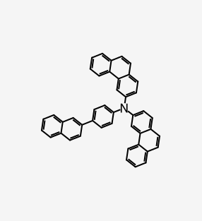 c1ccc2cc(-c3ccc(N(c4ccc5ccc6ccccc6c5c4)c4ccc5ccc6ccccc6c5c4)cc3)ccc2c1